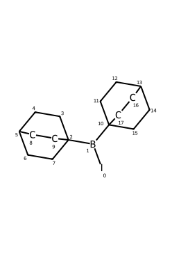 IB(C12CCC(CC1)CC2)C12CCC(CC1)CC2